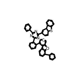 C1=CC2Sc3ccccc3C2C=C1c1nc(-c2ccccc2)nc(-c2ccccc2-c2cccc3oc4c(-c5ccccc5)cccc4c23)n1